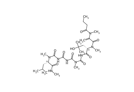 C=C(C(=O)N(C)[C@@H](CC(C)(C)O)C(=O)NC(=O)N(C)C(=O)NC(=O)NC(=O)N(C)[C@@H](CC(C)C)C(=O)NC)N(C)C(=O)CCC